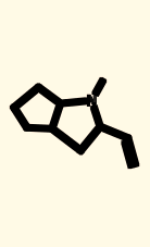 C=CC1CC2CCCC2N1C